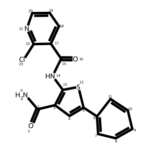 NC(=O)c1cc(-c2ccccc2)sc1NC(=O)c1cccnc1Cl